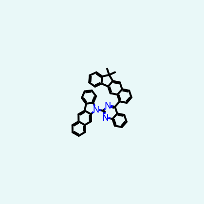 CC1(C)c2ccccc2-c2cc3c(-c4nc(-n5c6ccccc6c6cc7ccccc7cc65)nc5ccccc45)cccc3cc21